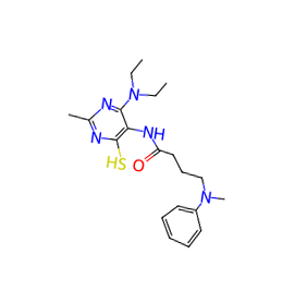 CCN(CC)c1nc(C)nc(S)c1NC(=O)CCCN(C)c1ccccc1